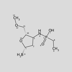 B[C@H]1CC(NP(=O)(O)CC)[C@@H](COC)O1